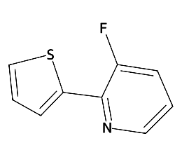 Fc1cccnc1-c1cccs1